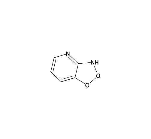 c1cnc2c(c1)OON2